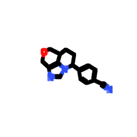 N#Cc1ccc(C2CCC3COCc4ncn2c43)cc1